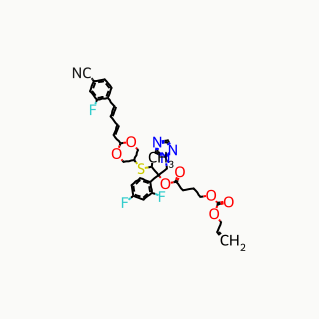 C=CCOC(=O)OCCCC(=O)OC(Cn1cncn1)(c1ccc(F)cc1F)C(C)SC1COC(C=CC=Cc2ccc(C#N)cc2F)OC1